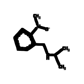 CC(C)NCc1ccccc1[S+](C)[O-]